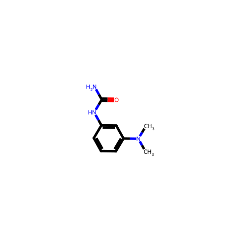 CN(C)c1cccc(NC(N)=O)c1